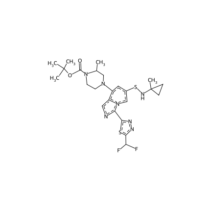 CC1CN(c2cc(SNC3(C)CC3)cn3c(-c4nnc(C(F)F)s4)ncc23)CCN1C(=O)OC(C)(C)C